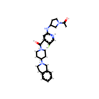 CC(=O)N1CCC(Nc2cc(C(=O)N3CCC(N4CCc5ccccc5C4)CC3)c(F)cn2)C1